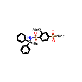 CNS(=O)(=O)c1ccc(S(=O)(=O)N[Si](c2ccccc2)(c2ccccc2)C(C)(C)C)c(OC)c1